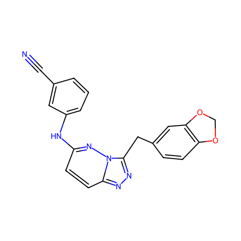 N#Cc1cccc(Nc2ccc3nnc(Cc4ccc5c(c4)OCO5)n3n2)c1